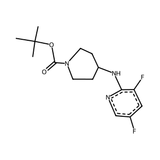 CC(C)(C)OC(=O)N1CCC(Nc2ncc(F)cc2F)CC1